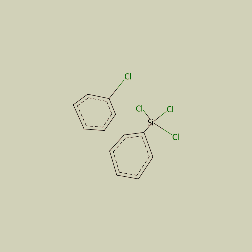 Cl[Si](Cl)(Cl)c1ccccc1.Clc1ccccc1